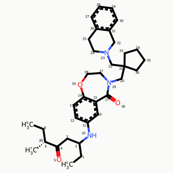 CCC(CC(=O)[C@H](C)CC)Nc1ccc2c(c1)C(=O)N(CC1(CN3CCc4ccccc4C3)CCCC1)CCO2